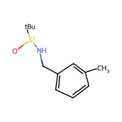 Cc1cccc(CN[S+]([O-])C(C)(C)C)c1